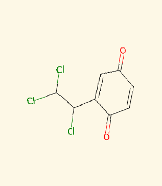 O=C1C=CC(=O)C(C(Cl)C(Cl)Cl)=C1